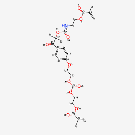 C=C(C)C(=O)OCCNC(=O)OC(C)(C)C(=O)c1ccc(OCCOC(=O)OCCOC(=O)C(=C)C)cc1